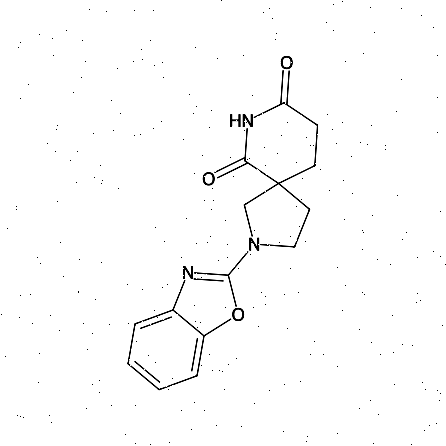 O=C1CCC2(CCN(c3nc4ccccc4o3)C2)C(=O)N1